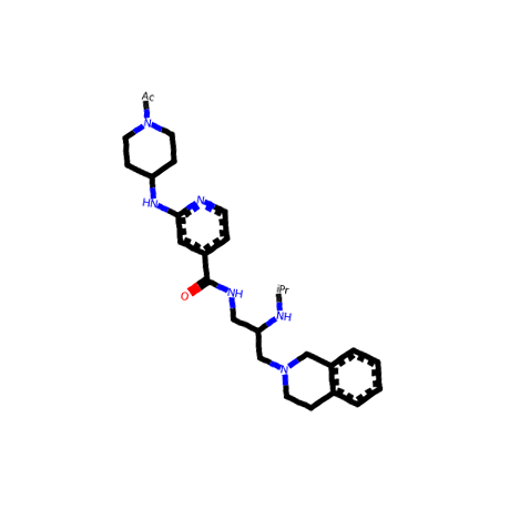 CC(=O)N1CCC(Nc2cc(C(=O)NCC(CN3CCc4ccccc4C3)NC(C)C)ccn2)CC1